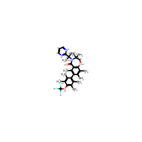 Bc1c(B)c(-c2c(B)c(B)c3c(c2B)C(=O)N(C(B)(B)c2ncccn2)C(B)(B)CO3)c(B)c(B)c1OC(F)(F)F